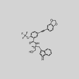 C[C@](CO)(Cc1c[nH]c2ccccc12)NC(=O)c1cc(C#Cc2ccc3c(c2)OCO3)ccc1OC(F)(F)F